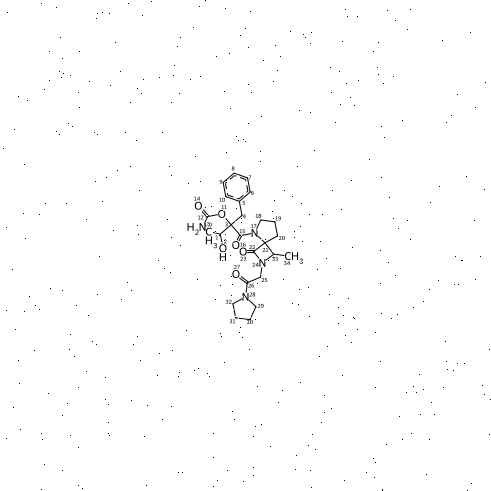 CC(O)C(Cc1ccccc1)(OC(N)=O)C(=O)N1CCCC12C(=O)N(CC(=O)N1CCCC1)C2C